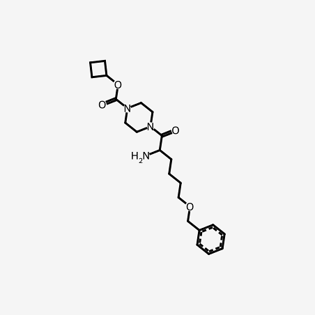 NC(CCCCOCc1ccccc1)C(=O)N1CCN(C(=O)OC2CCC2)CC1